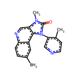 Bc1ccc2ncc3c(c2c1)n(-c1cnccc1C)c(=O)n3C